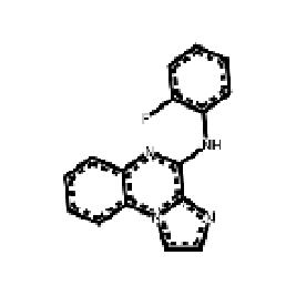 Fc1ccccc1Nc1nc2ccccc2n2ccnc12